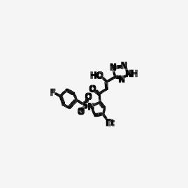 CCc1cc(C(=O)C=C(O)c2nn[nH]n2)n(S(=O)(=O)c2ccc(F)cc2)c1